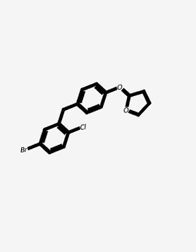 Clc1ccc(Br)cc1Cc1ccc(OC2CCCO2)cc1